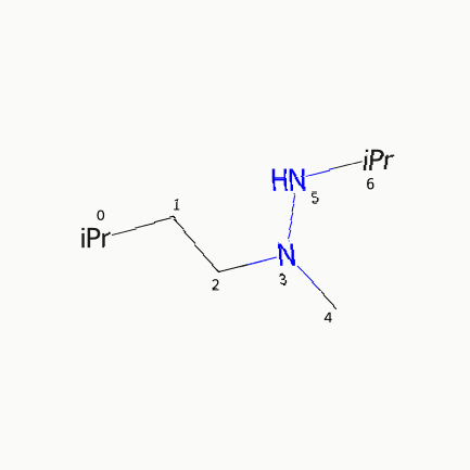 CC(C)CCN(C)NC(C)C